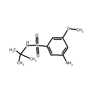 COc1cc(N)cc(S(=O)(=O)NC(C)(C)C)c1